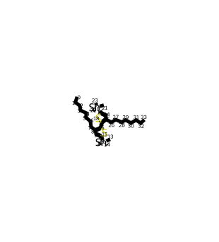 CCCCCCCCc1c[c]([Sn]([CH3])([CH3])[CH3])sc1-c1s[c]([Sn]([CH3])([CH3])[CH3])cc1CCCCCCCC